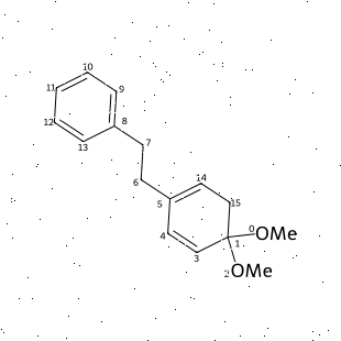 COC1(OC)C=CC(CCc2ccccc2)=CC1